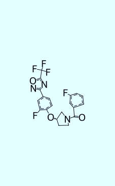 O=C(c1cccc(F)c1)N1CC[C@@H](Oc2ccc(-c3noc(C(F)(F)F)n3)cc2F)C1